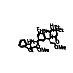 CCC1(CC)CC(=O)N([C@H](CCOC)c2cc(F)cc(C(=O)N[C@@H]3c4ccccc4OC3(C)COC)c2)C(=N)N1